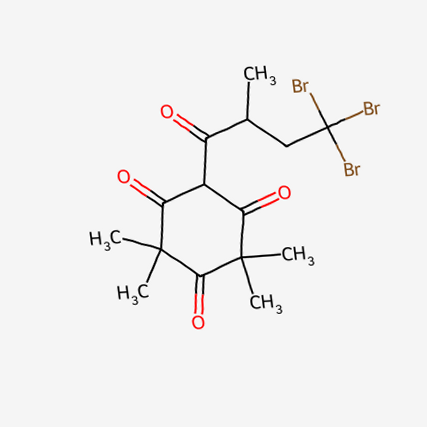 CC(CC(Br)(Br)Br)C(=O)C1C(=O)C(C)(C)C(=O)C(C)(C)C1=O